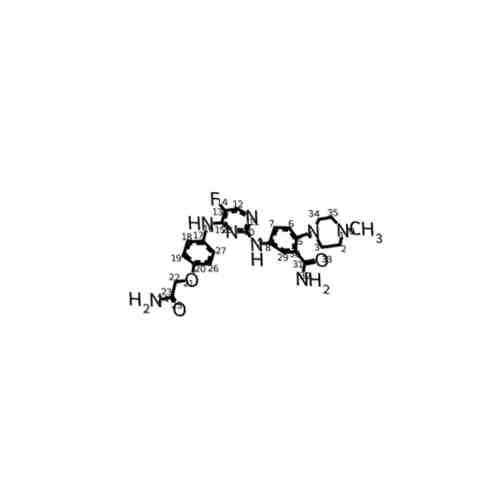 CN1CCN(c2ccc(Nc3ncc(F)c(Nc4ccc(OCC(N)=O)cc4)n3)cc2C(N)=O)CC1